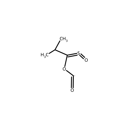 CC(C)C(O[C]=O)=S=O